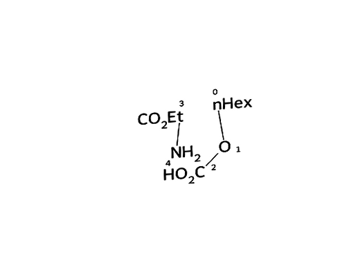 CCCCCCOC(=O)O.CCOC(N)=O